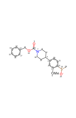 COc1cc(C2CCN(C(=O)OCc3ccccc3)CC2)ccc1[S+](C)[O-]